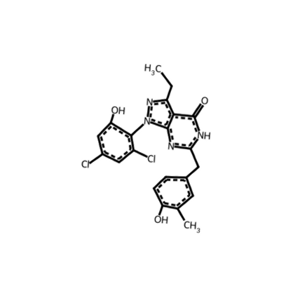 CCc1nn(-c2c(O)cc(Cl)cc2Cl)c2nc(Cc3ccc(O)c(C)c3)[nH]c(=O)c12